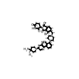 CC1(N)CCN(c2cnc(-c3cccc(N4CCN(Cc5ccc6c(c5Br)C(=O)N(C5CCC(=O)NC5=O)C6=O)CC4)c3Cl)c(N)n2)CC1